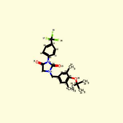 Cc1cc(CN2CC(=O)N(c3ccc(C(F)(F)F)cc3)C2=O)cc(C)c1OC(C)(C)C